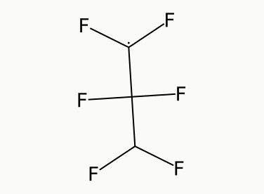 F[C](F)C(F)(F)C(F)F